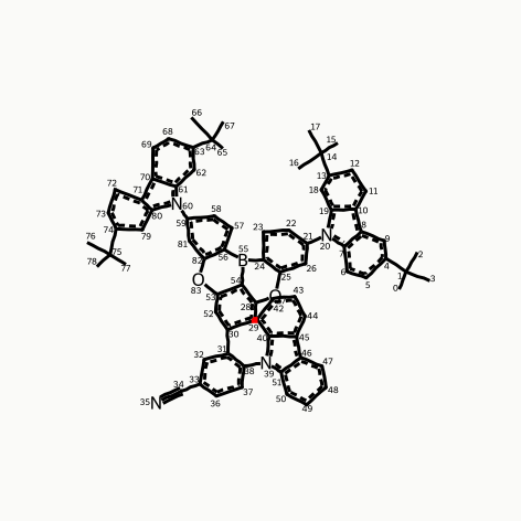 CC(C)(C)c1ccc2c(c1)c1ccc(C(C)(C)C)cc1n2-c1ccc2c(c1)Oc1cc(-c3cc(C#N)ccc3-n3c4ccccc4c4ccccc43)cc3c1B2c1ccc(-n2c4cc(C(C)(C)C)ccc4c4ccc(C(C)(C)C)cc42)cc1O3